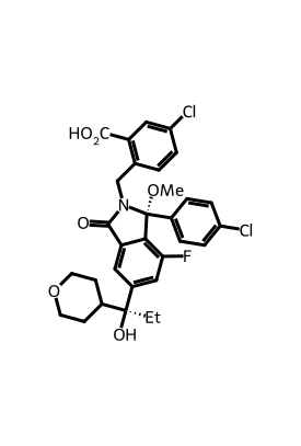 CC[C@@](O)(c1cc(F)c2c(c1)C(=O)N(Cc1ccc(Cl)cc1C(=O)O)[C@@]2(OC)c1ccc(Cl)cc1)C1CCOCC1